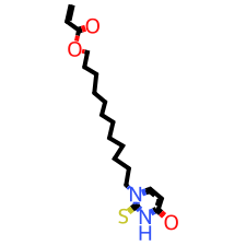 C=CC(=O)OCCCCCCCCCCCCn1ccc(=O)[nH]c1=S